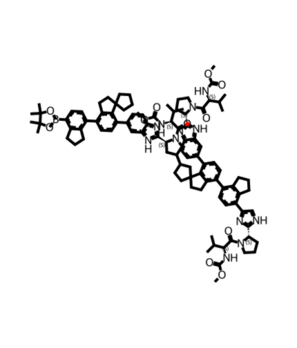 COC(=O)N[C@H](C(=O)N1CCC[C@H]1c1nc(-c2ccc(-c3ccc(-c4ccc5nc([C@@H]6CCCN6C(=O)[C@@H](NC(=O)OC)C(C)C)[nH]c5c4)c4c3CCC43CCC(C4C[C@@H](c5nc6ccc(-c7ccc(-c8ccc(B9OC(C)(C)C(C)(C)O9)c9c8CCC9)c8c7C7(CCCC7)CC8)cc6[nH]5)N(C(=O)[C@@H](NC(=O)OC)C(C)C)C4)C3)c3c2CCC3)c[nH]1)C(C)C